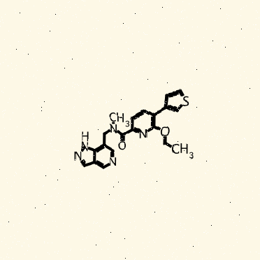 CCOc1nc(C(=O)N(C)Cc2cncc3cn[nH]c23)ccc1-c1ccsc1